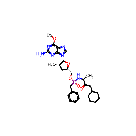 CCOc1nc(N)nc2c1ncn2[C@@H]1O[C@H](COP(=O)(Cc2ccccc2)NC(C)C(=O)CC2CCCCC2)C[C@@H]1C